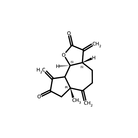 C=C1C(=O)C[C@@]2(C)C(=C)CC[C@H]3C(=C)C(=O)O[C@@H]3C12